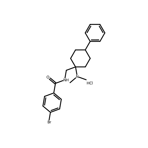 CN(C)C1(CNC(=O)c2ccc(Br)cc2)CCC(c2ccccc2)CC1.Cl